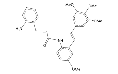 COc1ccc(NC(=O)/C=C/c2ccccc2N)c(/C=C/c2cc(OC)c(OC)c(OC)c2)c1